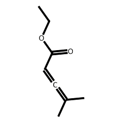 CCOC(=O)C=C=C(C)C